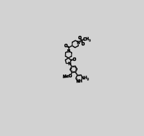 COc1cc(N2CCC3(CCN(C(=O)C4CCN(S(C)(=O)=O)CC4)CC3)C2=O)ccc1/C(C=N)=C/N